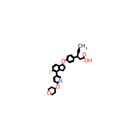 CC#CC(CC(=O)O)c1ccc(O[C@@H]2CCc3c2ccc(F)c3-c2ccc(OC3CCOCC3)nc2)cc1